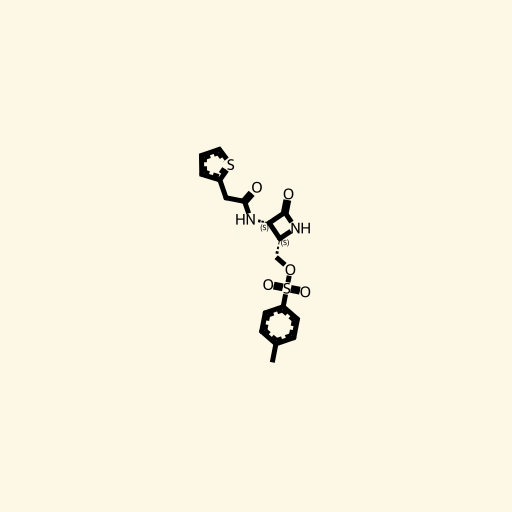 Cc1ccc(S(=O)(=O)OC[C@H]2NC(=O)[C@H]2NC(=O)Cc2cccs2)cc1